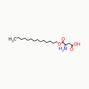 CCCCCCCCCCCCCCOC(=O)[C@@H](N)CC(=O)O